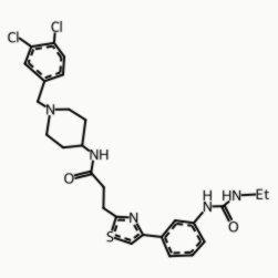 CCNC(=O)Nc1cccc(-c2csc(CCC(=O)NC3CCN(Cc4ccc(Cl)c(Cl)c4)CC3)n2)c1